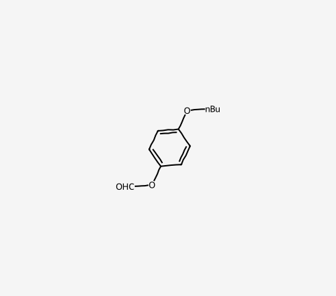 CCCCOc1ccc(OC=O)cc1